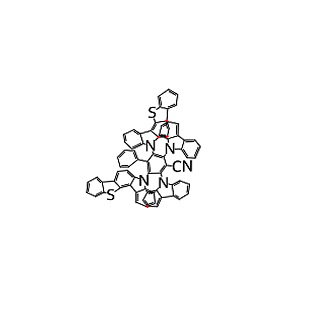 N#Cc1c(-n2c3ccccc3c3ccccc32)c(-n2c3ccccc3c3c4sc5ccccc5c4ccc32)c(-c2ccccc2)c(-n2c3ccccc3c3c4sc5ccccc5c4ccc32)c1-n1c2ccccc2c2ccccc21